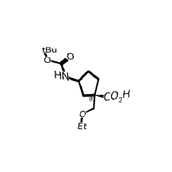 CCOC[C@@]1(C(=O)O)CCC(NC(=O)OC(C)(C)C)C1